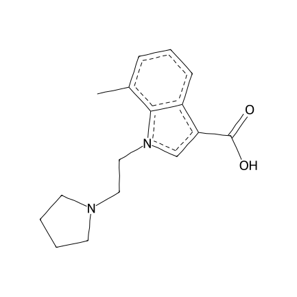 Cc1cccc2c(C(=O)O)cn(CCN3CCCC3)c12